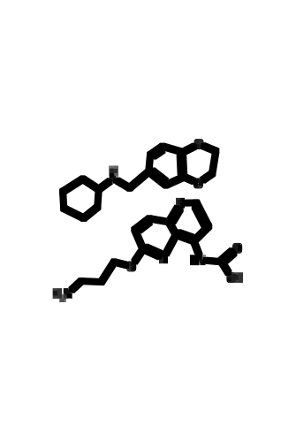 NCCCOc1ccc2nccc(NC(=O)O)c2n1.c1cc2c(cc1CNC1CCCCC1)OCCO2